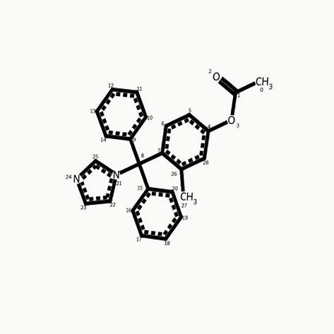 CC(=O)Oc1ccc(C(c2ccccc2)(c2ccccc2)n2ccnc2)c(C)c1